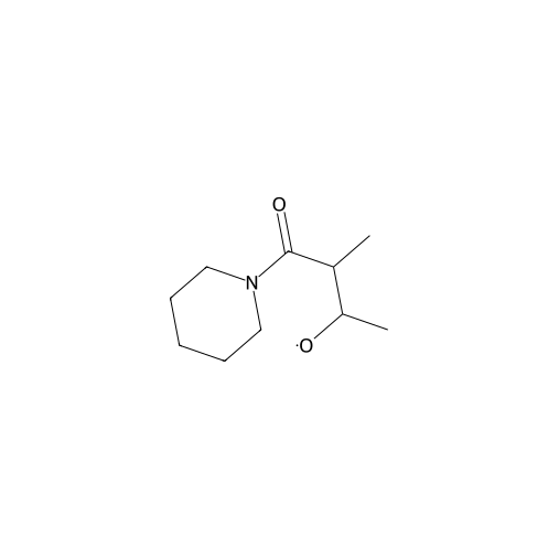 CC([O])C(C)C(=O)N1CCCCC1